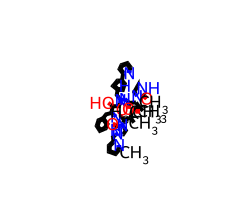 CCC(C)C(C(=O)NC(Cc1ccccc1)C(O)CN(Cc1ccc(-c2ccccn2)cc1)NC(=O)C(N1CCNC1=O)C(C)(C)C)N1CCN(Cc2cccc(C)n2)C1=O